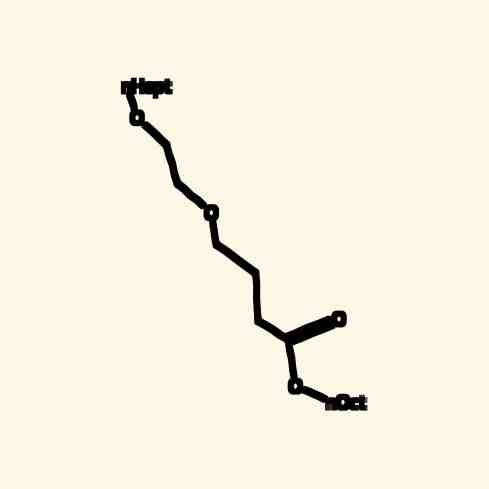 CCCCCCCCOC(=O)CCCOCCOCCCCCCC